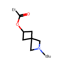 CCC(=O)OC1CC2(C1)CN(C(C)(C)C)C2